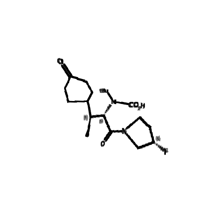 C[C@@H](C1CCC(=O)CC1)[C@@H](C(=O)N1CC[C@H](F)C1)N(C(=O)O)C(C)(C)C